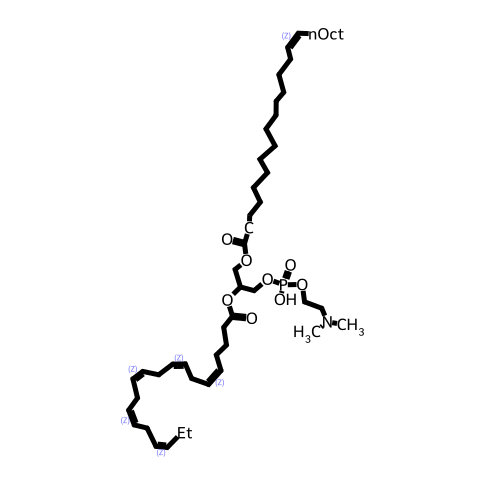 CC/C=C\C/C=C\C/C=C\C/C=C\C/C=C\CCCC(=O)OC(COC(=O)CCCCCCCCCCCCC/C=C\CCCCCCCC)COP(=O)(O)OCCN(C)C